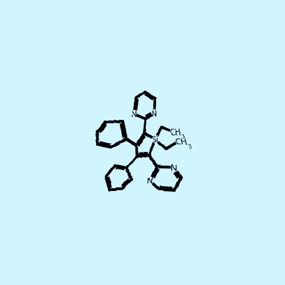 CC[Si]1(CC)C(c2ncccn2)=C(c2ccccc2)C(c2ccccc2)=C1c1ncccn1